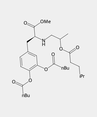 CCCCC(=O)Oc1ccc(C[C@H](NCC(C)OC(=O)CCC(C)C)C(=O)OC)cc1OC(=O)CCCC